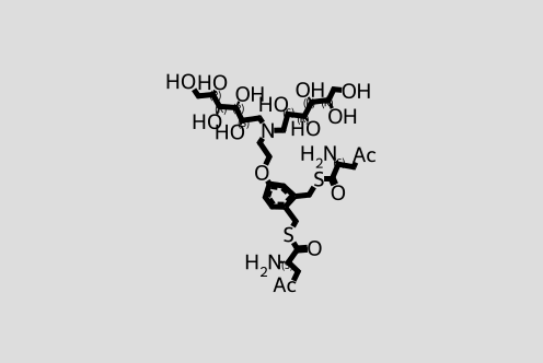 CC(=O)C[C@H](N)C(=O)SCc1ccc(OCCN(C[C@H](O)[C@@H](O)[C@H](O)[C@H](O)CO)C[C@H](O)[C@@H](O)[C@H](O)[C@H](O)CO)cc1CSC(=O)[C@@H](N)CC(C)=O